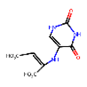 O=C(O)C=C(Nc1c[nH]c(=O)[nH]c1=O)C(=O)O